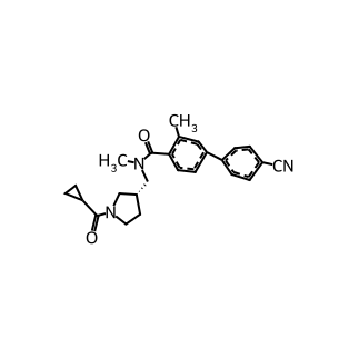 Cc1cc(-c2ccc(C#N)cc2)ccc1C(=O)N(C)C[C@@H]1CCN(C(=O)C2CC2)C1